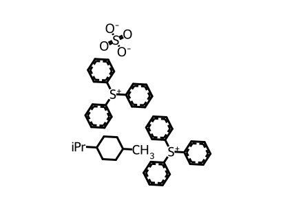 CC1CCC(C(C)C)CC1.O=S(=O)([O-])[O-].c1ccc([S+](c2ccccc2)c2ccccc2)cc1.c1ccc([S+](c2ccccc2)c2ccccc2)cc1